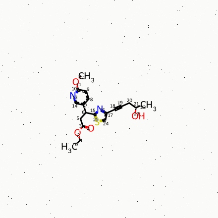 CCOC(=O)CC(c1ccc(OC)nc1)c1nc(C#CCC(C)O)cs1